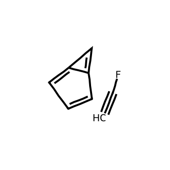 C#CF.c1cc2cc-2c1